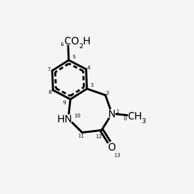 CN1Cc2cc(C(=O)O)ccc2NCC1=O